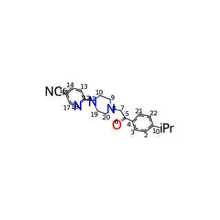 CC(C)c1ccc(C(=O)CN2CCN(c3ccc(C#N)cn3)CC2)cc1